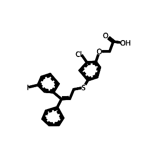 O=C(O)COc1ccc(SCC=C(c2ccccc2)c2cccc(I)c2)cc1Cl